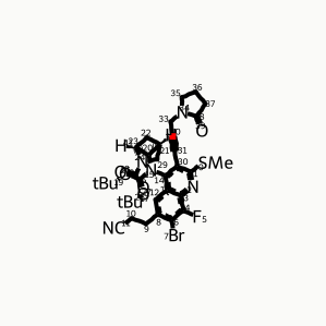 CSc1nc2c(F)c(Br)c(CCC#N)cc2c(N(C(=O)OC(C)(C)C)C2[C@@H]3C[C@H]2N(C(=O)OC(C)(C)C)C3)c1C#CCN1CCCC1=O